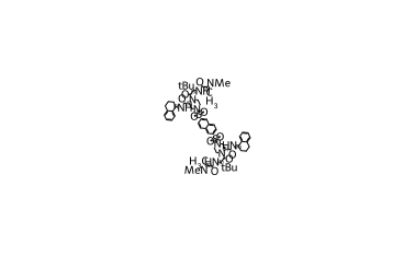 CN[C@@H](C)C(=O)N[C@H](C(=O)N1CCN(S(=O)(=O)c2ccc3cc(S(=O)(=O)N4CCN(C(=O)[C@@H](NC(=O)[C@H](C)NC)C(C)(C)C)[C@H](C(=O)N[C@@H]5CCCc6ccccc65)C4)ccc3c2)C[C@H]1C(=O)N[C@@H]1CCCc2ccccc21)C(C)(C)C